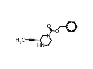 CC#C[C@H]1CN(C(=O)OCc2ccccc2)CCN1